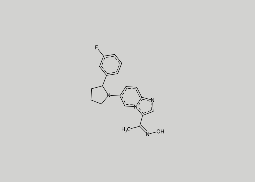 C/C(=N/O)c1cnc2ccc(N3CCCC3c3cccc(F)c3)cn12